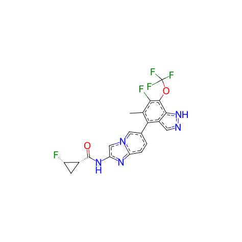 Cc1c(F)c(OC(F)(F)F)c2[nH]ncc2c1-c1ccc2nc(NC(=O)[C@@H]3C[C@@H]3F)cn2c1